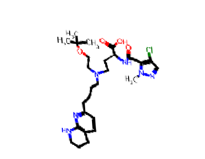 Cn1ncc(Cl)c1C(=O)N[C@@H](CCN(CCCCc1ccc2c(n1)NCCC2)CCOC(C)(C)C)C(=O)O